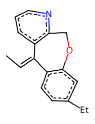 C/C=C1/c2ccc(CC)cc2OCc2ncccc21